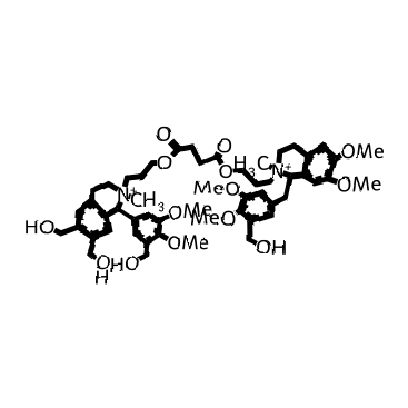 COc1cc2c(cc1OC)C(Cc1cc(CO)c(OC)c(OC)c1)[N+](C)(CCCOC(=O)CCC(=O)OCCC[N+]1(C)CCc3cc(CO)c(CO)cc3C1c1cc(CO)c(OC)c(OC)c1)CC2